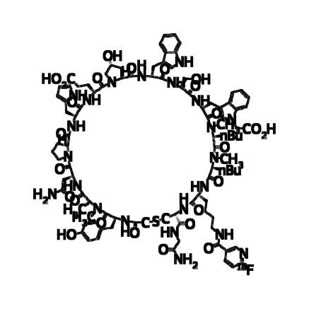 CCCC[C@H]1C(=O)N(C)[C@@H](CCCC)C(=O)N[C@@H](CCCCNC(=O)c2ccc([18F])nc2)C(=O)N[C@H](C(=O)NCC(N)=O)CSCC(=O)N[C@@H](Cc2ccc(O)cc2)C(=O)N(C)[C@@H](C)C(=O)N[C@@H](CC(N)=O)C(=O)N2CCC[C@H]2C(=O)N[C@@H](Cc2ccc[nH]2)C(=O)N[C@@H](CCC(=O)O)C(=O)N2C[C@H](O)C[C@H]2C(=O)N[C@@H](Cc2c[nH]c3ccccc23)C(=O)N[C@@H](CO)C(=O)N[C@@H](Cc2cn(CC(=O)O)c3ccccc23)C(=O)N1C